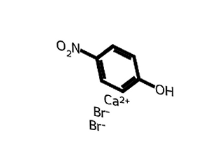 O=[N+]([O-])c1ccc(O)cc1.[Br-].[Br-].[Ca+2]